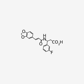 O=C(O)CC(NC(=O)/C=C/c1ccc2c(c1)OCO2)c1cccc(F)c1